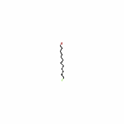 FCCCCCCCCCCCCBr